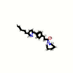 CCCCCc1ccc(-c2ccc(CCC(=O)N3CCCCC3)cc2)nc1